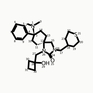 CN(C)[C@]1(c2ccccc2)CC[C@]2(CC1)CN(CC1CCSCC1)C(=O)N2CC1(O)CCC1